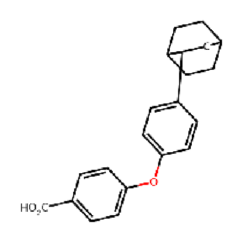 O=C(O)c1ccc(Oc2ccc(C3CC4CCC3CC4)cc2)cc1